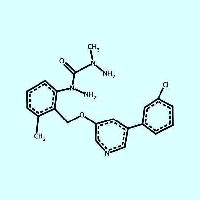 Cc1cccc(N(N)C(=O)N(C)N)c1COc1cncc(-c2cccc(Cl)c2)c1